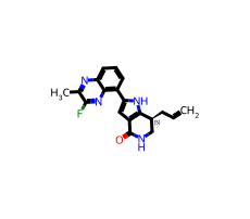 C=CC[C@H]1CNC(=O)c2cc(-c3cccc4nc(C)c(F)nc34)[nH]c21